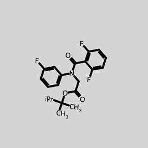 CC(C)C(C)(C)OC(=O)CN(C(=O)c1c(F)cccc1F)c1cccc(F)c1